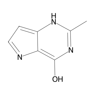 Cc1nc(O)c2nccc-2[nH]1